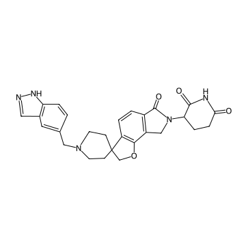 O=C1CCC(N2Cc3c(ccc4c3OCC43CCN(Cc4ccc5[nH]ncc5c4)CC3)C2=O)C(=O)N1